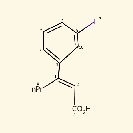 CCCC(=CC(=O)O)c1cccc(I)c1